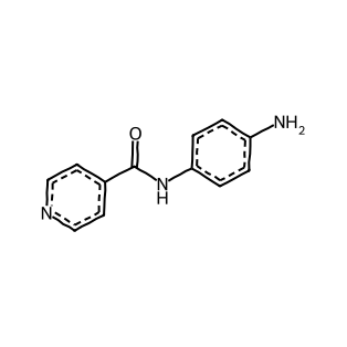 Nc1ccc(NC(=O)c2ccncc2)cc1